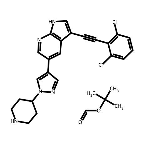 CC(C)(C)OC=O.Clc1cccc(Cl)c1C#Cc1c[nH]c2ncc(-c3cnn(C4CCNCC4)c3)cc12